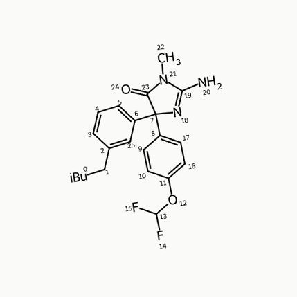 CCC(C)Cc1cccc(C2(c3ccc(OC(F)F)cc3)N=C(N)N(C)C2=O)c1